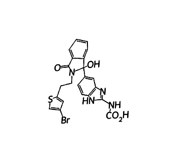 O=C(O)Nc1nc2cc(C3(O)c4ccccc4C(=O)N3CCc3cc(Br)cs3)ccc2[nH]1